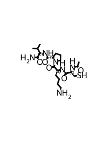 CC(=O)N[C@@H](CS)C(=O)N[C@@H](CCCCN)C(=O)N1CCC[C@H]1C(=O)N[C@H](C(N)=O)C(C)C